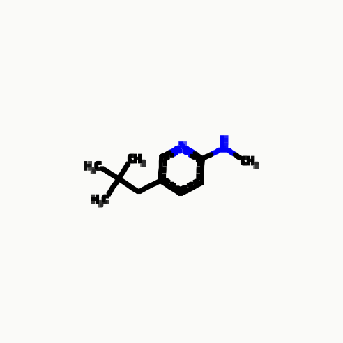 CNc1ccc(CC(C)(C)C)cn1